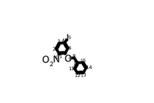 O=[N+]([O-])c1ccc(I)cc1OCc1ccccc1